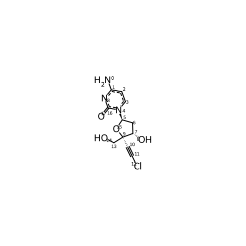 Nc1ccn([C@H]2C[C@H](O)[C@@](C#CCl)(CO)O2)c(=O)n1